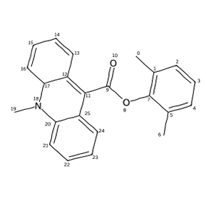 Cc1cccc(C)c1OC(=O)C1=C2C=CC=CC2N(C)c2ccccc21